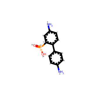 Nc1ccc(-c2ccc(N)cc2[PH](=O)O)cc1